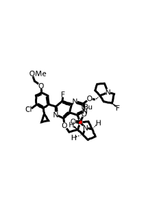 COCOc1cc(Cl)c(C2CC2)c(-c2nc3c4c(nc(OC[C@]56CCCN5C[C@@H](F)C6)nc4c2F)N2C[C@H]4CC[C@@H]([C@@H]2CO3)N4C(=O)OC(C)(C)C)c1